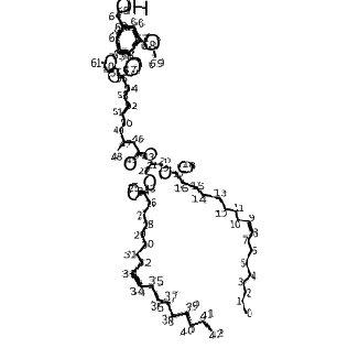 CCCCCCCC/C=C\CCCCCCCC(=O)OCC(COC(=O)CCCCCCC/C=C\CCCCCCCC)OC(=O)CC(C)CCCCCCC(=O)Oc1c(OC)cc(CO)cc1OC